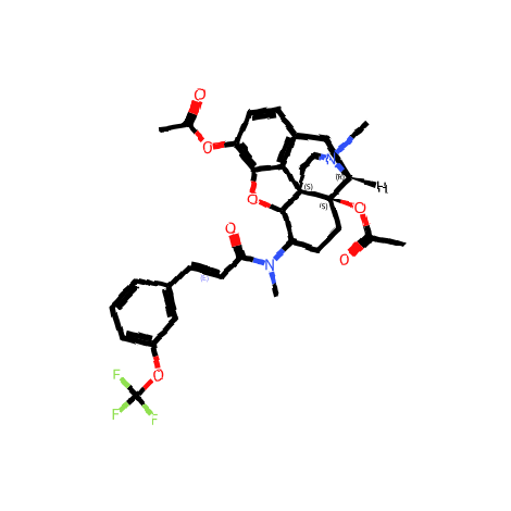 CC(=O)Oc1ccc2c3c1OC1C(N(C)C(=O)/C=C/c4cccc(OC(F)(F)F)c4)CC[C@@]4(OC(C)=O)[C@@H](C2)N(C)CC[C@]314